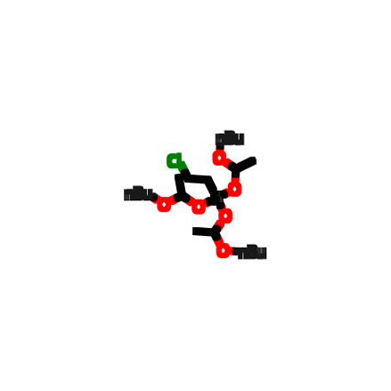 CCCCOC(C)O[Si](CCCl)(OC(C)OCCCC)OC(C)OCCCC